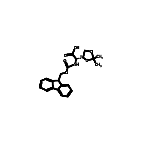 CC1(C)OC[C@@H](C(NC(=O)OCC2c3ccccc3-c3ccccc32)C(=O)O)O1